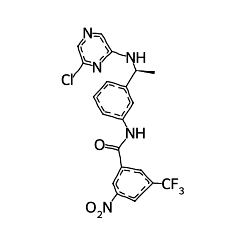 C[C@H](Nc1cncc(Cl)n1)c1cccc(NC(=O)c2cc([N+](=O)[O-])cc(C(F)(F)F)c2)c1